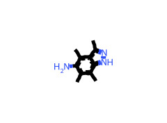 Cc1c(N)c(C)c2c(C)n[nH]c2c1C